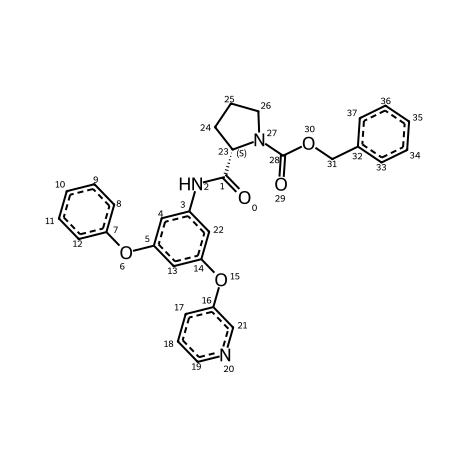 O=C(Nc1cc(Oc2ccccc2)cc(Oc2cccnc2)c1)[C@@H]1CCCN1C(=O)OCc1ccccc1